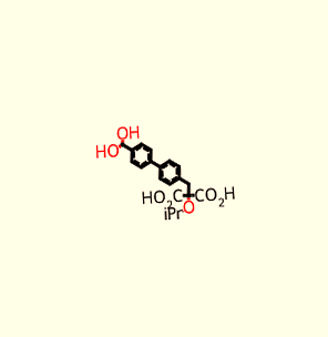 CC(C)OC(Cc1ccc(-c2ccc(C(O)O)cc2)cc1)(C(=O)O)C(=O)O